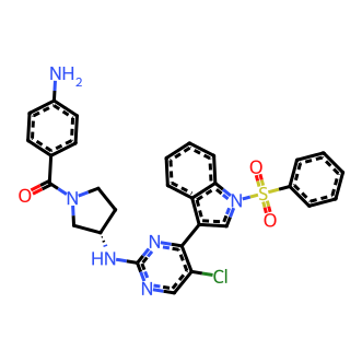 Nc1ccc(C(=O)N2CC[C@H](Nc3ncc(Cl)c(-c4cn(S(=O)(=O)c5ccccc5)c5ccccc45)n3)C2)cc1